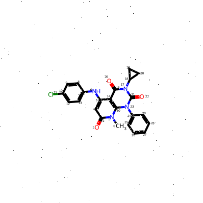 Cn1c(=O)cc(Nc2ccc(Cl)cc2)c2c(=O)n(C3CC3)c(=O)n(-c3ccccc3)c21